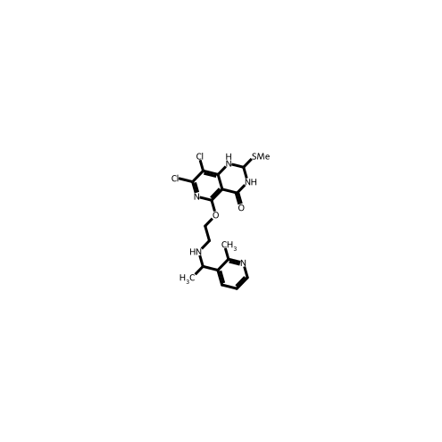 CSC1NC(=O)c2c(OCCNC(C)c3cccnc3C)nc(Cl)c(Cl)c2N1